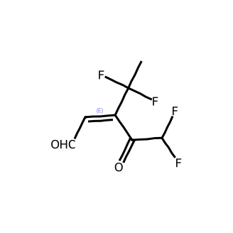 CC(F)(F)/C(=C/C=O)C(=O)C(F)F